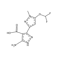 Cn1nc(-c2n[nH]c(N)c2C(=O)O)cc1OC(F)F